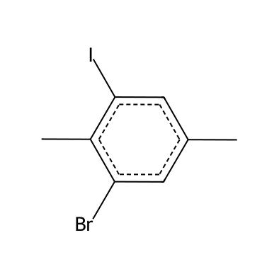 Cc1cc(Br)c(C)c(I)c1